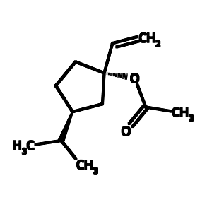 C=C[C@]1(OC(C)=O)CC[C@H](C(C)C)C1